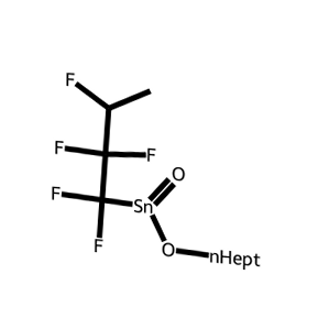 CCCCCCC[O][Sn](=[O])[C](F)(F)C(F)(F)C(C)F